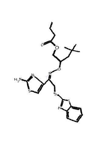 CCCC(=O)OCC(CC(C)(C)C)O/N=C(\CSc1nc2ccccc2s1)c1csc(N)n1